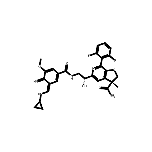 COC1=CC(C(=O)NC[C@@H](O)c2cc3c(c(-c4c(F)cccc4F)n2)OC[C@]3(C)C(N)=O)=C/C(=C/NC2CC2)C1=N